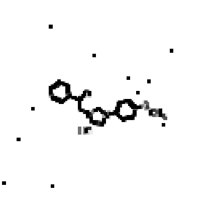 COc1ccc(N2C=CN(CC(=O)c3ccccc3)C2)cc1.Cl